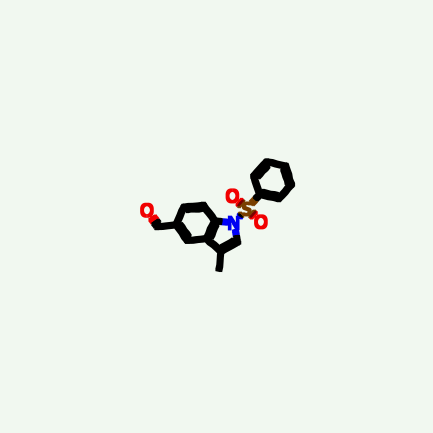 Cc1cn(S(=O)(=O)c2ccccc2)c2ccc(C=O)cc12